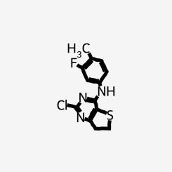 Cc1ccc(Nc2nc(Cl)nc3c2SCC3)cc1F